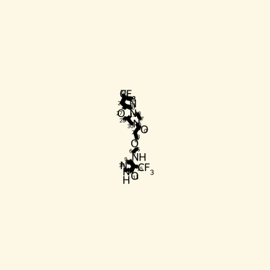 O=C(CCOCCNc1cn[nH]c(=O)c1C(F)(F)F)N1CCN2c3ncc(C(F)(F)F)cc3OCC2C1